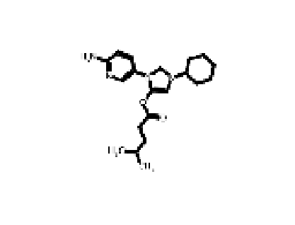 CC(C)CCC(=O)OC1=CN(C2CCCCC2)CN1c1ccc(N)nc1